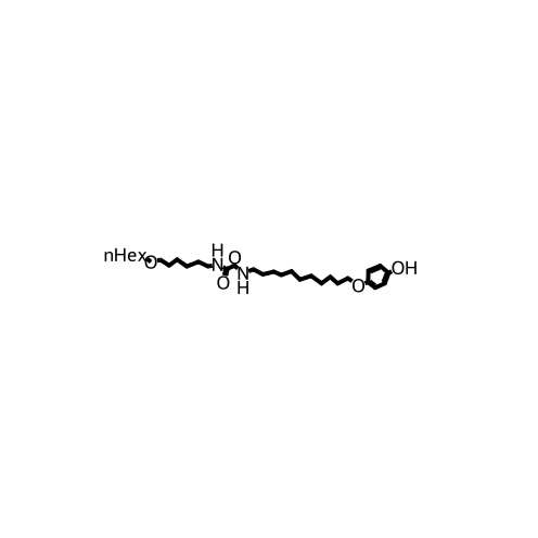 CCCCCCOCCCCCCNC(=O)C(=O)NCCCCCCCCCCCOc1ccc(O)cc1